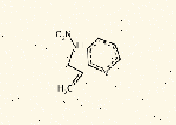 C=CCN[N+](=O)[O-].c1ccncc1